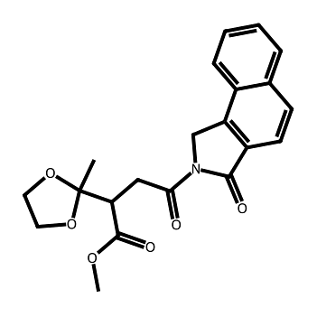 COC(=O)C(CC(=O)N1Cc2c(ccc3ccccc23)C1=O)C1(C)OCCO1